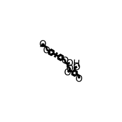 CC(C)(c1ccc(OCC(O)COC(=O)c2ccc(C=O)cc2C=O)cc1)c1ccc(OCC2CO2)cc1